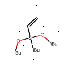 C=C[Si](OC(C)CC)(OC(C)CC)C(C)CC